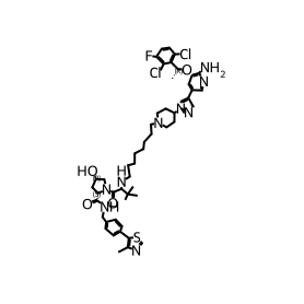 Cc1ncsc1-c1ccc(CNC(=O)[C@@H]2C[C@@H](O)CN2C(=O)C(NCCCCCCCCN2CCC(n3cc(-c4cnc(N)c(O[C@H](C)c5c(Cl)ccc(F)c5Cl)c4)cn3)CC2)C(C)(C)C)cc1